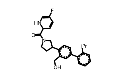 CC(C)c1ccccc1-c1ccc(C2CCN(C(=O)C3C=CC(F)=CN3)C2)c(CO)c1